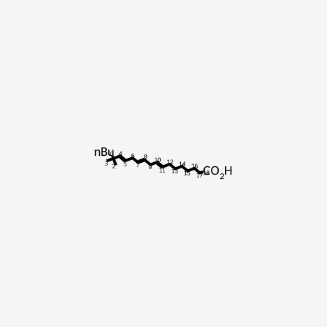 CCCCC(C)(C)C=CCC=CCC=CCCCCCCC(=O)O